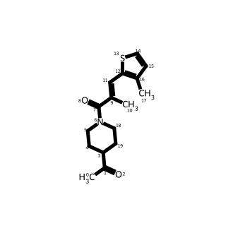 CC(=O)C1CCN(C(=O)/C(C)=C/c2sccc2C)CC1